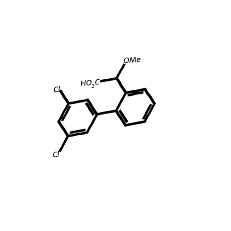 COC(C(=O)O)c1ccccc1-c1cc(Cl)cc(Cl)c1